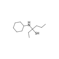 CCCC(S)(CC)NC1CCCCC1